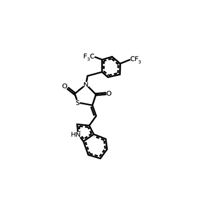 O=C1SC(=Cc2c[nH]c3ccccc23)C(=O)N1Cc1ccc(C(F)(F)F)cc1C(F)(F)F